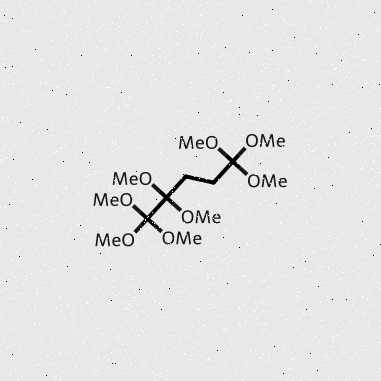 COC(CCC(OC)(OC)C(OC)(OC)OC)(OC)OC